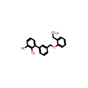 N#Cc1cccc(-c2cccc(COc3ccccc3CC(=O)O)c2)c1O